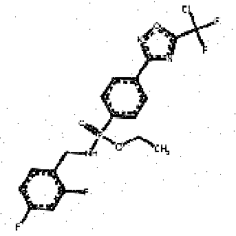 CCOP(=O)(NCc1ccc(F)cc1F)c1ccc(-c2noc(C(F)(F)Cl)n2)cc1